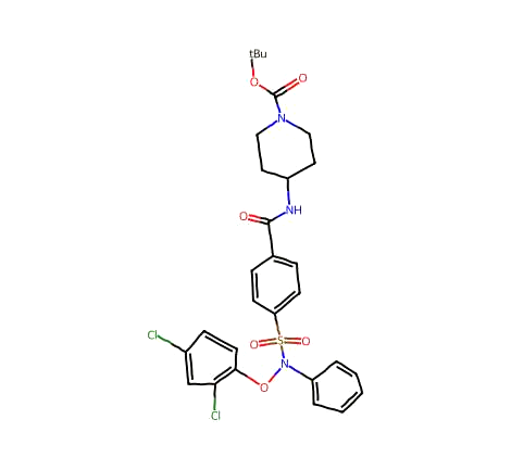 CC(C)(C)OC(=O)N1CCC(NC(=O)c2ccc(S(=O)(=O)N(Oc3ccc(Cl)cc3Cl)c3ccccc3)cc2)CC1